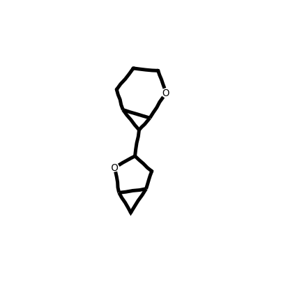 C1COC2C(C1)C2C1CC2CC2O1